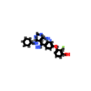 N=C(c1ccc(Oc2cccc(O)c2F)cc1)c1c(N)ncnc1NC1CCCCC1